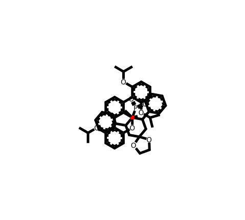 CC(C)Oc1cccc(OC(C)C)c1-c1cccc(-c2c(OC(C)C)cccc2OC(C)C)c1C1(P(=O)=O)C(c2ccccc2)CC2(CC1c1ccccc1)OCCO2